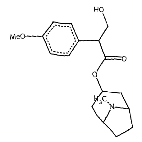 COc1ccc(C(CO)C(=O)OC2CC3CCC(C2)N3C)cc1